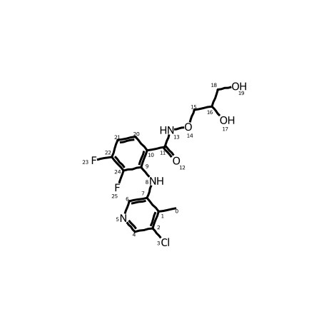 Cc1c(Cl)cncc1Nc1c(C(=O)NOCC(O)CO)ccc(F)c1F